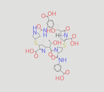 C[C@@H](O)[C@@H](C(=O)N1C[C@@H](SC2=C(C(=O)O)N3C(=O)[C@H]([C@@H](C)O)[C@H]3[C@H]2C)C[C@H]1C(=O)Nc1cccc(C(=O)O)c1)[C@@H]1N=C(C(=O)O)C(S[C@@H]2CN[C@H](C(=O)Nc3cccc(C(=O)O)c3)C2)[C@@H]1C